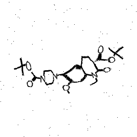 CCN1C(=O)[C@@H](C(=O)OC(C)(C)C)CCc2cc(N3CCN(C(=O)OC(C)(C)C)CC3)c(OC)cc21